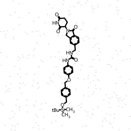 CC(C)(C)[Si](C)(C)OCc1ccc(COc2ccc(NC(=O)NCc3ccc4c(c3)CN(C3CCC(=O)NC3=O)C4=O)cc2)cc1